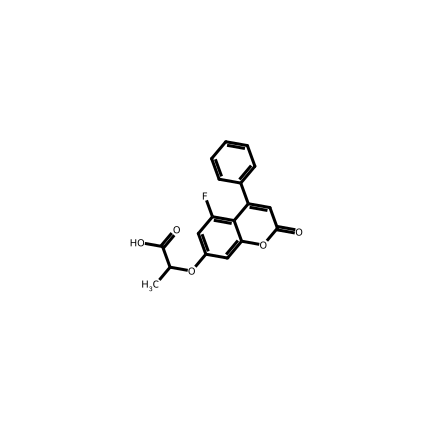 CC(Oc1cc(F)c2c(-c3ccccc3)cc(=O)oc2c1)C(=O)O